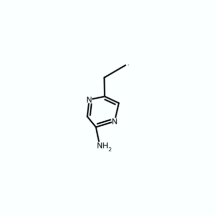 [CH2]Cc1cnc(N)cn1